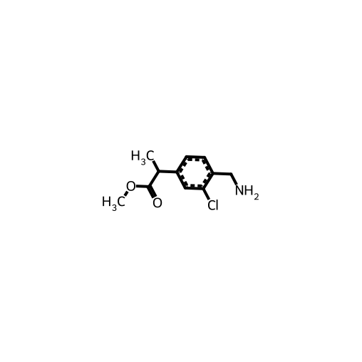 COC(=O)C(C)c1ccc(CN)c(Cl)c1